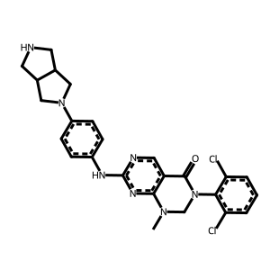 CN1CN(c2c(Cl)cccc2Cl)C(=O)c2cnc(Nc3ccc(N4CC5CNCC5C4)cc3)nc21